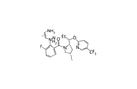 CCC(Oc1ccc(C(F)(F)F)cn1)C1CC(C)CN1C(=O)c1cccc(F)c1N(N)/C=C\N